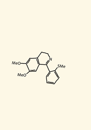 COc1cc2c(cc1OC)C(c1ccccc1SC)=NCC2